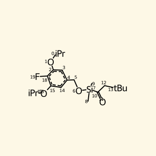 CC(C)Oc1cc(CO[Si](C)(C)C(=O)CC(C)(C)C)cc(OC(C)C)c1F